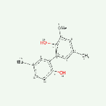 COc1cc(C)cc(-c2cc(C(C)(C)C)ccc2O)c1O